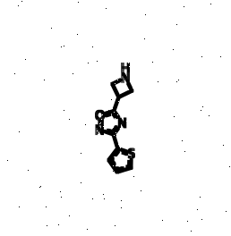 c1csc(-c2noc(C3CNC3)n2)c1